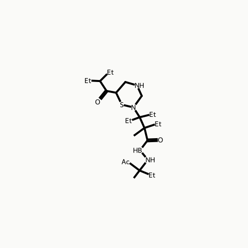 CCC(CC)C(=O)C1CNCN(C(CC)(CC)C(C)(CC)C(=O)BNC(C)(CC)C(C)=O)S1